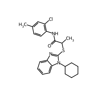 Cc1ccc(NC(=O)C(C)Sc2nc3ccccc3n2C2CCCCC2)c(Cl)c1